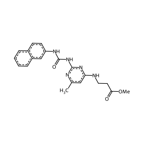 COC(=O)CCNc1cc(C)nc(NC(=O)Nc2ccc3ccccc3c2)n1